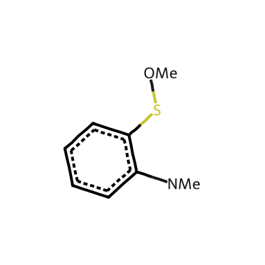 CNc1ccccc1SOC